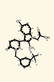 Cc1c(-c2ccc(=O)n(Cc3cccc(C(F)(F)F)c3)n2)c2cc(Cl)ccc2n1CC(=O)O